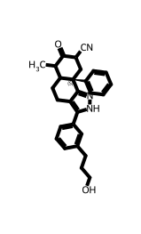 CC1C(=O)C(C#N)C[C@]2(c3ccccc3)c3n[nH]c(-c4cccc(CCCO)c4)c3CCC12